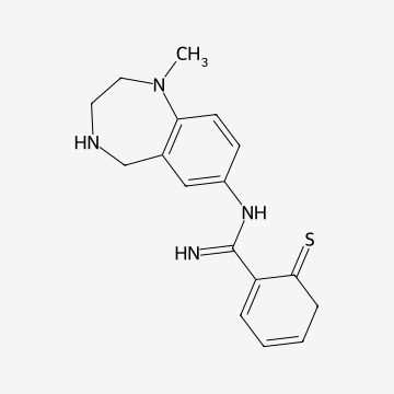 CN1CCNCc2cc(NC(=N)C3=CC=CCC3=S)ccc21